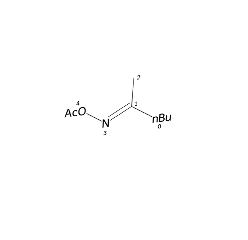 CCCCC(C)=NOC(C)=O